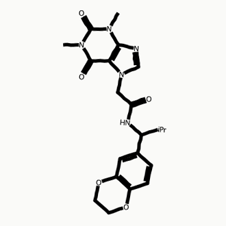 CC(C)C(NC(=O)Cn1cnc2c1c(=O)n(C)c(=O)n2C)c1ccc2c(c1)OCCO2